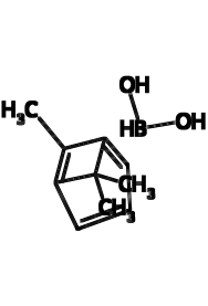 Cc1c2cccc1C2(C)C.OBO